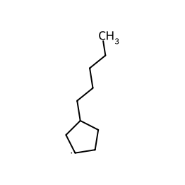 CCCCCC1C[CH]CC1